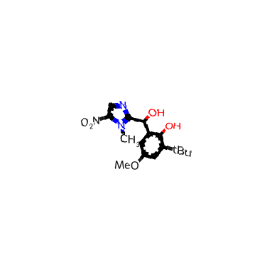 COc1cc(C(O)c2ncc([N+](=O)[O-])n2C)c(O)c(C(C)(C)C)c1